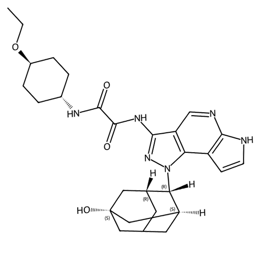 CCO[C@H]1CC[C@H](NC(=O)C(=O)Nc2nn([C@H]3[C@@H]4CC5C[C@H]3C[C@@](O)(C5)C4)c3c2cnc2[nH]ccc23)CC1